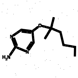 CCCCC(C)(C)Oc1cnc(N)nc1